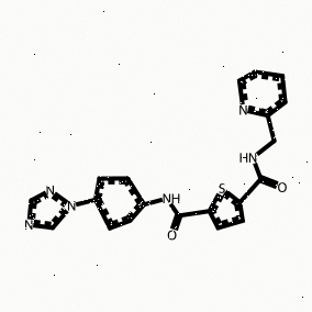 O=C(NCc1ccccn1)c1ccc(C(=O)Nc2ccc(-n3cncn3)cc2)s1